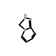 [C]1=CC=CN2CNN=C12